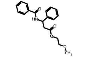 COCCOC(=O)CC(NC(=O)c1ccccc1)c1ccccc1